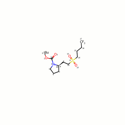 CC(C)(C)OC(=O)N1CCC[C@@H]1CCS(=O)(=O)CCCC(F)(F)F